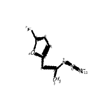 C/C(=C/c1ccc(F)o1)N=[N+]=[N-]